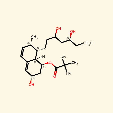 CCCC(C)(CCC)C(=O)O[C@H]1C[C@H](O)C=C2C=C[C@H](C)[C@H](CCC(O)C[C@@H](O)CC(=O)O)[C@H]21